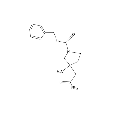 NC(=O)CC1(N)CCN(C(=O)OCc2ccccc2)C1